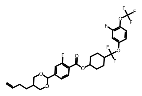 C=CCCC1COC(c2ccc(C(=O)OC3CCC(C(F)(F)Oc4ccc(OC(F)(F)F)c(F)c4)CC3)c(F)c2)OC1